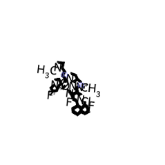 CN1CCC1/C=C/C(=O)N1CCC(/C=[N+](/C)c2nc(OC[C@@]34CCCN3C[C@H](F)C4)nc3c(F)c(-c4cccc5ccc(F)c(Cl)c45)ncc23)C1